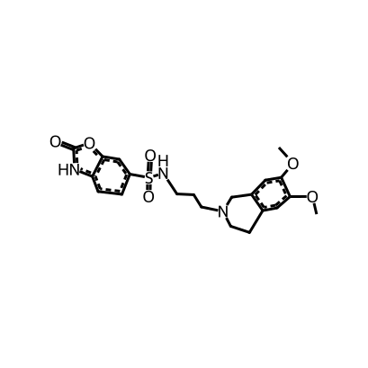 COc1cc2c(cc1OC)CN(CCCNS(=O)(=O)c1ccc3[nH]c(=O)oc3c1)CC2